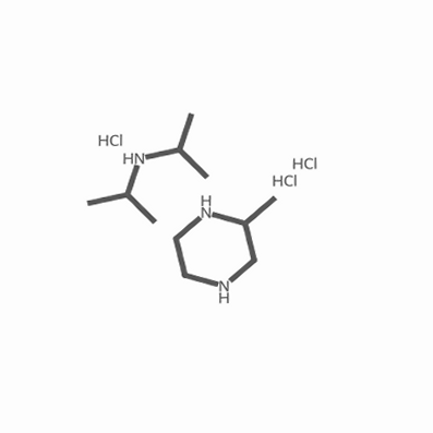 CC(C)NC(C)C.CC1CNCCN1.Cl.Cl.Cl